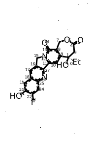 CC[C@@]1(O)CC(=O)OCc2c1cc1n(c2=O)Cc2cc3cc(O)c(F)cc3nc2-1